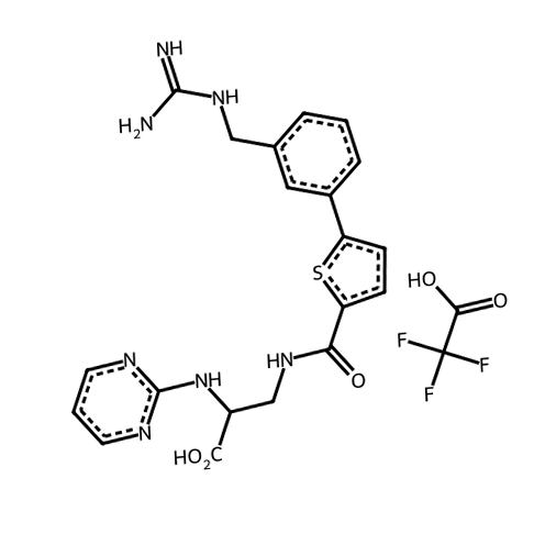 N=C(N)NCc1cccc(-c2ccc(C(=O)NCC(Nc3ncccn3)C(=O)O)s2)c1.O=C(O)C(F)(F)F